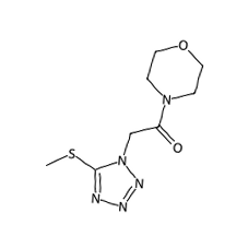 CSc1nnnn1CC(=O)N1CCOCC1